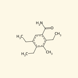 CCc1cc(C(N)=O)c(CC)c(C)c1CC